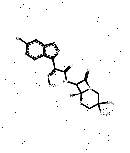 CON=C(C(=O)NC1C(=O)N2CC(C)(C(=O)O)CS[C@H]12)c1scc2cc(Cl)ccc12